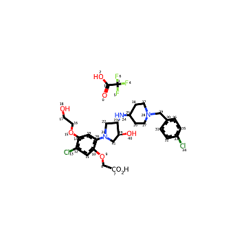 O=C(O)C(F)(F)F.O=C(O)COc1cc(Cl)c(OCCO)cc1N1C[C@H](NC2CCN(Cc3ccc(Cl)cc3)CC2)[C@@H](O)C1